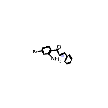 Nc1cc(Br)ccc1C(=O)/C=C/c1ccccc1